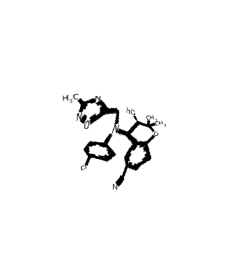 Cc1noc(CN(c2ccc(Cl)cc2)C2c3cc(C#N)ccc3OC(C)(C)[C@@H]2O)n1